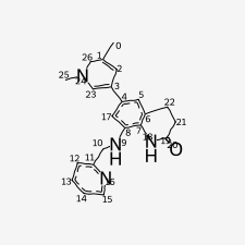 CC1=CC(c2cc3c(c(NCc4ccccn4)c2)NC(=O)CC3)=CN(C)C1